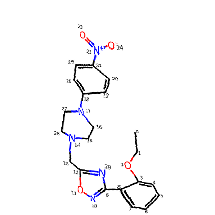 CCOc1ccccc1-c1noc(CN2CCN(c3ccc([N+](=O)[O-])cc3)CC2)n1